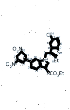 CCOC(=O)Cc1cn(Cc2c(CC)sc3ccc(Cl)cc23)c2cc(C3=CC([N+](=O)[O-])CC([N+](=O)[O-])=C3)ccc12